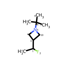 CC(F)C1CN(C(C)(C)C)C1